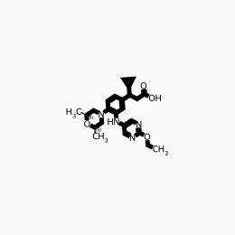 CCOc1ncc(Nc2cc(C(CC(=O)O)C3CC3)ccc2N2C[C@@H](C)O[C@@H](C)C2)cn1